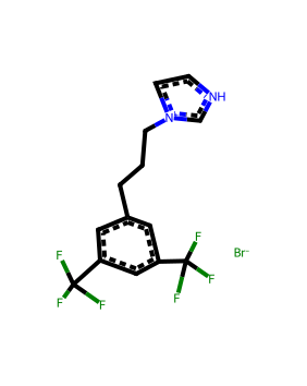 FC(F)(F)c1cc(CCC[n+]2cc[nH]c2)cc(C(F)(F)F)c1.[Br-]